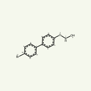 OBOc1ccc(-c2ccc(Br)cc2)cc1